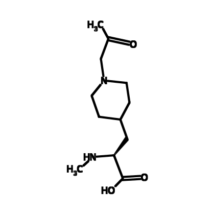 CN[C@@H](CC1CCN(CC(C)=O)CC1)C(=O)O